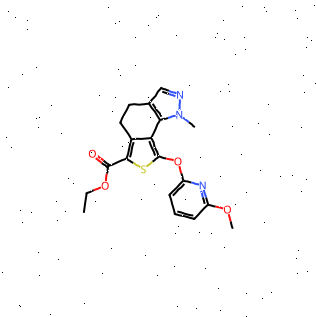 CCOC(=O)c1sc(Oc2cccc(OC)n2)c2c1CCc1cnn(C)c1-2